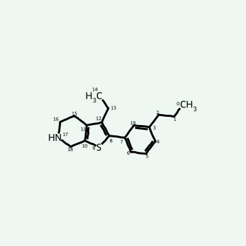 CCCc1cccc(-c2sc3c(c2CC)CCNC3)c1